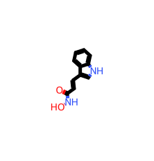 O=C(C=Cc1c[nH]c2ccccc12)NO